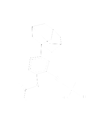 CC(=O)Nc1ccc(C23CC4CC(CC(C4)C2)C3)cc1C#C[Si](C)(C)C